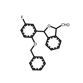 O=CC1OC(c2cc(F)ccc2OCc2ccccc2)c2ccccc21